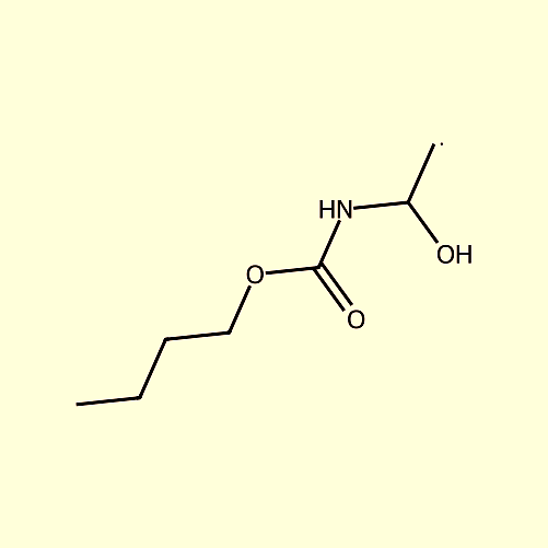 [CH2]C(O)NC(=O)OCCCC